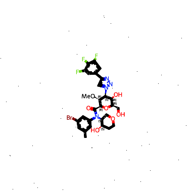 CO[C@@H]1[C@@H](n2cc(-c3cc(F)c(F)c(F)c3)nn2)[C@@H](O)[C@@H](CO)O[C@H]1C(=O)N(c1cc(C)cc(Br)c1)[C@H]1COCC[C@@H]1O